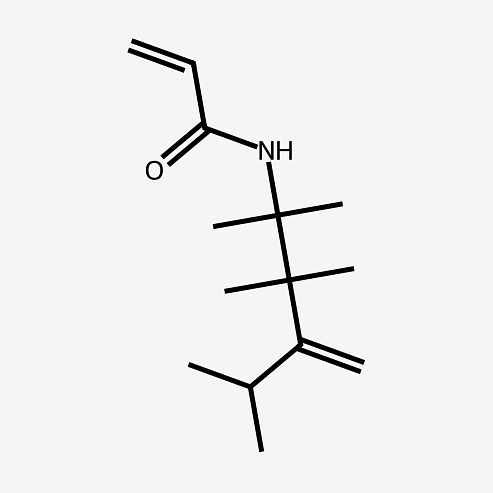 C=CC(=O)NC(C)(C)C(C)(C)C(=C)C(C)C